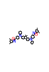 Cc1cc(C)c2oc(-c3ccc(N(c4ccccc4)c4ccc5c(c4)C(C)(C)c4cc(N(c6ccccc6)c6ccc(-c7nc8cc(C)cc(C)c8o7)cc6)ccc4-5)cc3)nc2c1